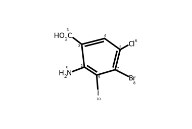 Nc1c(C(=O)O)cc(Cl)c(Br)c1I